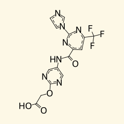 O=C(O)COc1ncc(NC(=O)c2cc(C(F)(F)F)nc(-n3ccnc3)n2)cn1